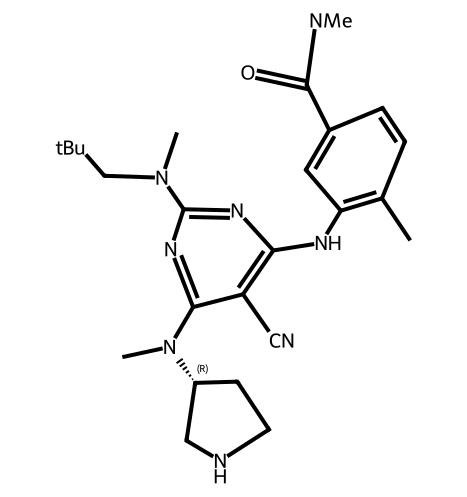 CNC(=O)c1ccc(C)c(Nc2nc(N(C)CC(C)(C)C)nc(N(C)[C@@H]3CCNC3)c2C#N)c1